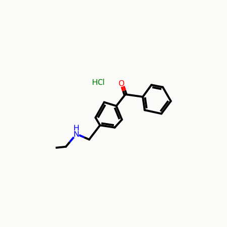 CCNCc1ccc(C(=O)c2ccccc2)cc1.Cl